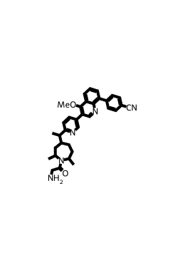 COc1c(-c2ccc(C(C)C3CCC(C)N(C(=O)CN)C(C)C3)nc2)cnc2c(-c3ccc(C#N)cc3)cccc12